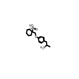 CC(N)Cc1ccc(OCC2([PH](=O)O)CCCCC2)cc1